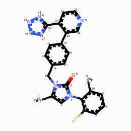 CCCc1cn(-c2c(F)cccc2C(C)C)c(=O)n1Cc1ccc(-c2cnccc2-c2nnn[nH]2)cc1